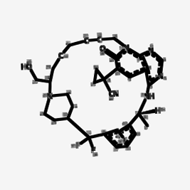 C[C@H]1Nc2ncnc3c2cc(C2(C#N)CC2)c(=O)n3CCCCCCC(CO)N2CCC(CC2)C(F)(F)c2cccc1c2F